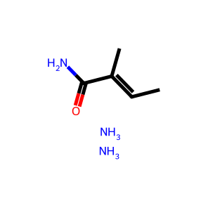 C/C=C(\C)C(N)=O.N.N